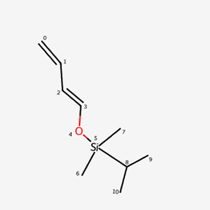 C=CC=CO[Si](C)(C)C(C)C